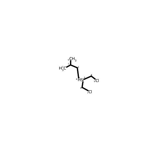 CC(C)CC[SiH](CCl)CCl